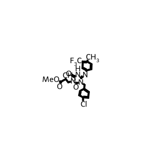 COC(=O)[C@@H](C)Cn1c(=O)[nH]/c(=N\c2ccc(C)c(C(F)(F)F)c2)n(Cc2ccc(Cl)cc2)c1=O